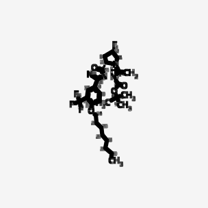 C=C(NC(=O)OC(C)(C)C)N1C[C@@H](F)C[C@H]1c1nc(-c2ccc(OCCCCCCCC)c(C(F)(F)F)c2)no1